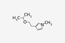 CC(C)OCCc1ccn(C)c1